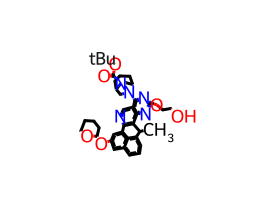 CC1c2c(ncc3c(N4CC5CCCC4CN5C(=O)OC(C)(C)C)nc(OCCO)nc23)-c2cc(OC3CCCCO3)cc3cccc1c23